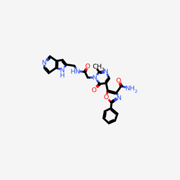 Cc1ncc(-c2oc(-c3ccccc3)nc2C(N)=O)c(=O)n1CC(=O)NCc1cc2cnccc2[nH]1